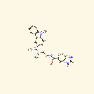 CCn1c2ccccc2c2cc(N(C)C(C)CCNC(=O)c3ccc4[nH]cnc4c3)ccc21